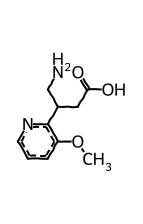 COc1cccnc1C(CN)CC(=O)O